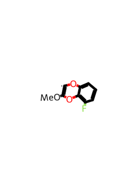 COC1=[C]Oc2cccc(F)c2O1